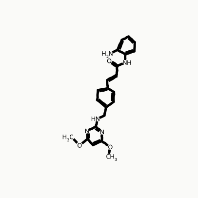 COc1cc(OC)nc(NCc2ccc(C=CC(=O)Nc3ccccc3N)cc2)n1